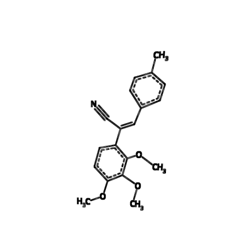 COc1ccc(C(C#N)=Cc2ccc(C)cc2)c(OC)c1OC